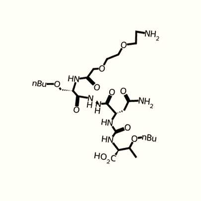 CCCCOC[C@H](NC(=O)COCCOCCN)C(=O)NNC(=O)[C@H](CC(N)=O)NC(=O)N[C@H](C(=O)O)C(C)OCCCC